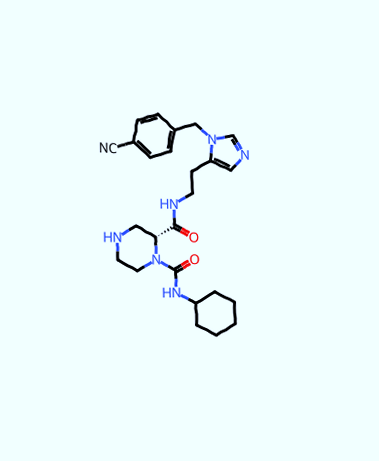 N#Cc1ccc(Cn2cncc2CCNC(=O)[C@H]2CNCCN2C(=O)NC2CCCCC2)cc1